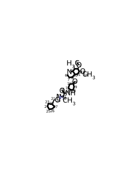 COc1cc2nccc(Oc3ccc(NC(=O)/C(C)=N/OCc4ccccc4)cc3)c2cc1OC